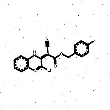 N#C/C(C(=O)OCc1ccc(F)cc1)=C1\Nc2ccccc2N=C1Cl